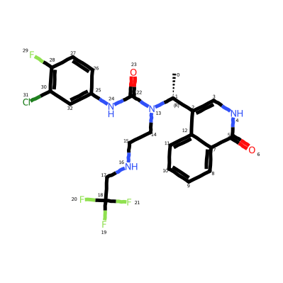 C[C@H](c1c[nH]c(=O)c2ccccc12)N(CCNCC(F)(F)F)C(=O)Nc1ccc(F)c(Cl)c1